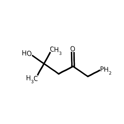 CC(C)(O)CC(=O)CP